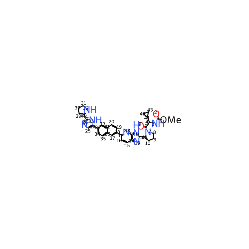 COC(=O)NC(C(=O)N1CCC[C@H]1c1nc2ccc(-c3ccc4cc(-c5cnc([C@@H]6CCCN6)[nH]5)ccc4c3)nc2[nH]1)C1CC1